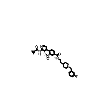 O=C(NCCC1CCN(Cc2cccc(F)c2)CC1)c1ccc(-c2ccnc(NC(=O)C3CC3)c2)c([N+](=O)[O-])c1